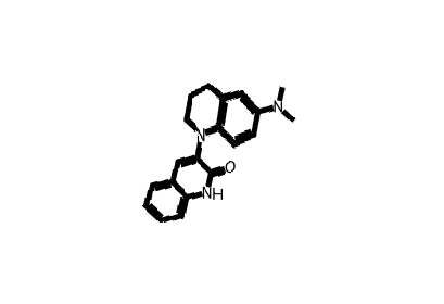 CN(C)c1ccc2c(c1)CCCN2c1cc2ccccc2[nH]c1=O